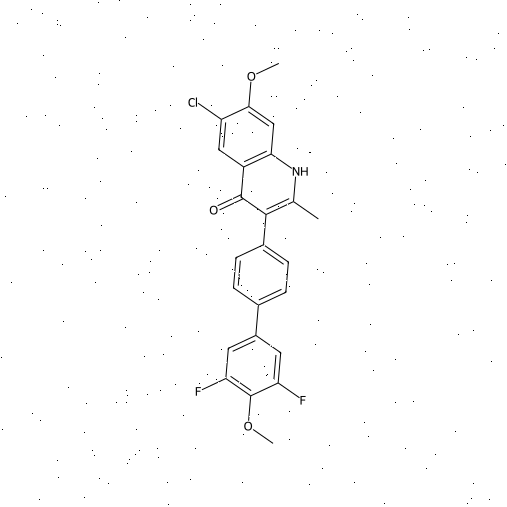 COc1cc2[nH]c(C)c(-c3ccc(-c4cc(F)c(OC)c(F)c4)cc3)c(=O)c2cc1Cl